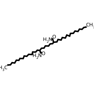 CCCCCCCCCCCCCCCCC(CCCCCCC(CCCCCCCCCCCCCCCC)C(N)=O)C(N)=O